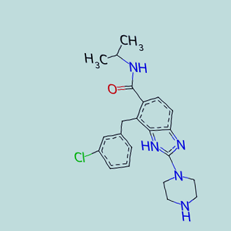 CC(C)NC(=O)c1ccc2nc(N3CCNCC3)[nH]c2c1Cc1cccc(Cl)c1